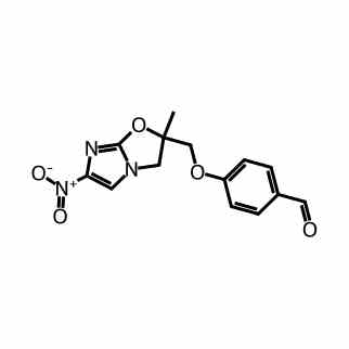 CC1(COc2ccc(C=O)cc2)Cn2cc([N+](=O)[O-])nc2O1